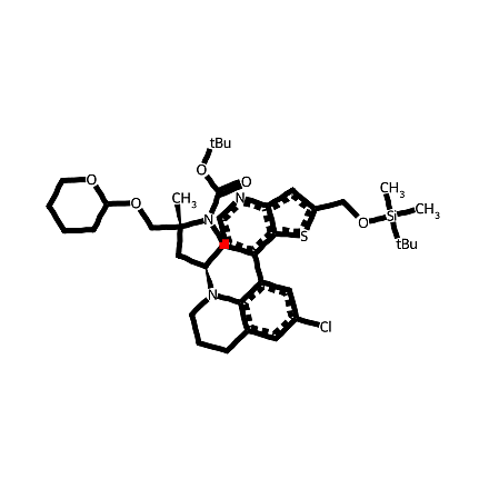 CC(C)(C)OC(=O)N1C[C@@H](N2CCCc3cc(Cl)cc(-c4ccnc5cc(CO[Si](C)(C)C(C)(C)C)sc45)c32)C[C@]1(C)COC1CCCCO1